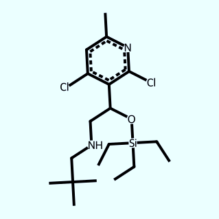 CC[Si](CC)(CC)OC(CNCC(C)(C)C)c1c(Cl)cc(C)nc1Cl